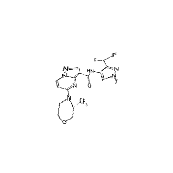 O=C(Nc1cn(I)nc1C(F)F)c1cnn2ccc(N3CCOC[C@H]3C(F)(F)F)nc12